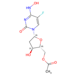 CC(=O)OC[C@H]1O[C@@H](n2cc(F)c(NO)nc2=O)C[C@@H]1O